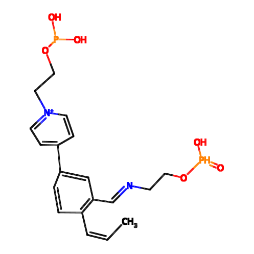 C/C=C\c1ccc(-c2cc[n+](CCOP(O)O)cc2)cc1/C=N/CCO[PH](=O)O